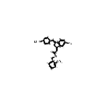 CSc1ccc(/C=C2\CC(CC(=O)NCc3ccccc3[N+](=O)[O-])c3cc(F)ccc32)cc1